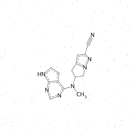 CN(c1ncnc2[nH]ccc12)C1Cc2cc(C#N)nn2C1